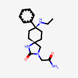 CCN[C@]1(c2ccccc2)CC[C@@]2(CC1)CN(CC(N)=O)C(=O)N2